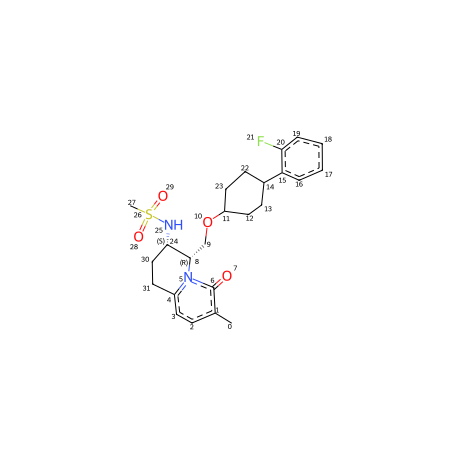 Cc1ccc2n(c1=O)[C@@H](COC1CCC(c3ccccc3F)CC1)[C@@H](NS(C)(=O)=O)CC2